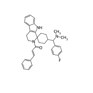 CN(C)C(c1ccc(F)cc1)C1CCC2(CC1)c1[nH]c3ccccc3c1CCN2C(=O)C=Cc1ccccc1